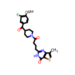 COc1ccc(C(=O)C2CCN(C(=O)CCCc3nc4c(C)csc4c(=O)[nH]3)CC2)cc1F